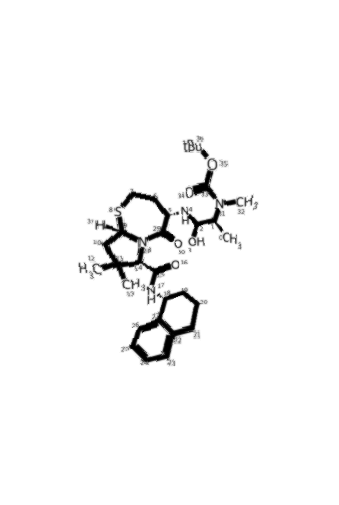 C[C@@H](C(O)N[C@H]1CCS[C@H]2CC(C)(C)[C@H](C(=O)N[C@@H]3CCCc4ccccc43)N2C1=O)N(C)C(=O)OC(C)(C)C